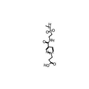 CNS(=O)(=O)CCNC(=O)c1cc[n+](CCC(=O)O)nc1